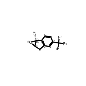 FC(F)(F)c1ccc2c(c1)CC1O[C@@H]21